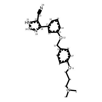 CN(C)CCCOc1ccc(COc2cccc(-c3nn[nH]c3C#N)c2)cc1